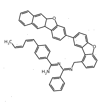 C/C=C\C=C/c1ccc(/C(N)=N/C(=N\Cc2cccc3oc4ccc(-c5ccc6c(c5)OC5C=c7ccccc7=CC65)cc4c23)c2ccccc2)cc1